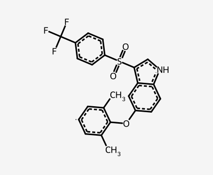 Cc1c[c]cc(C)c1Oc1ccc2[nH]cc(S(=O)(=O)c3ccc(C(F)(F)F)cc3)c2c1